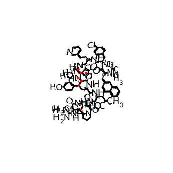 CC(=O)N[C@H](Cc1ccc2ccccc2c1)C(=O)N[C@H](Cc1ccc(Cl)cc1)C(=O)N[C@H](CCc1cccnc1)C(=O)N[C@@H](CO)C(=O)N[C@@H](Cc1ccc(O)cc1)C(=O)N[C@H](CCCNC(N)=O)C(=O)N[C@@H](CC(C)C)C(=O)N[C@@H](CCCNC(N)N)C(=O)N1CCCC1C(=O)N[C@H](C)C(N)=O